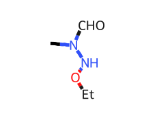 CCONN(C)C=O